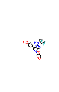 C[C@@H](CC(F)(F)F)Nc1ncc2c(OC3CCOCC3)ncc([C@H]3CC[C@H](O)CC3)c2n1